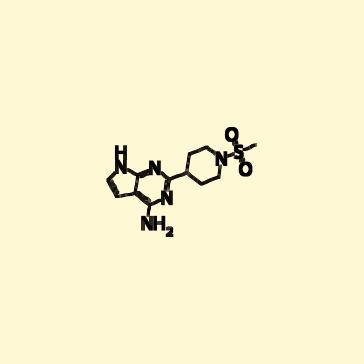 CS(=O)(=O)N1CCC(c2nc(N)c3cc[nH]c3n2)CC1